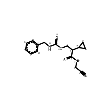 N#CCNC(=O)C(COC(=O)NCc1ccccc1)C1CC1